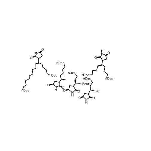 CCCCCCCCCCCC=C(CCC)C1CC(=O)NC1=O.CCCCCCCCCCCC=C(CCCCC)C1CC(=O)NC1=O.CCCCCCCCCCCCCC=C(CCCCCCCCCCCCC)C1CC(=O)NC1=O.CCCCCCCCCCCCCCC(C)C1CC(=O)NC1=O.CCCCCCCCCCCCCCCCCCC=C(CCCCCCCCCCCCCC)C1CC(=O)NC1=O